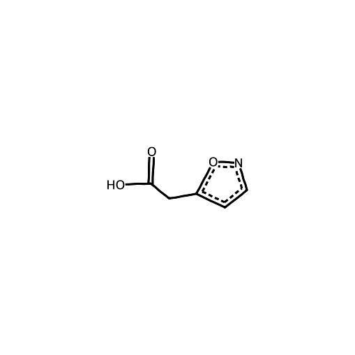 O=C(O)Cc1ccno1